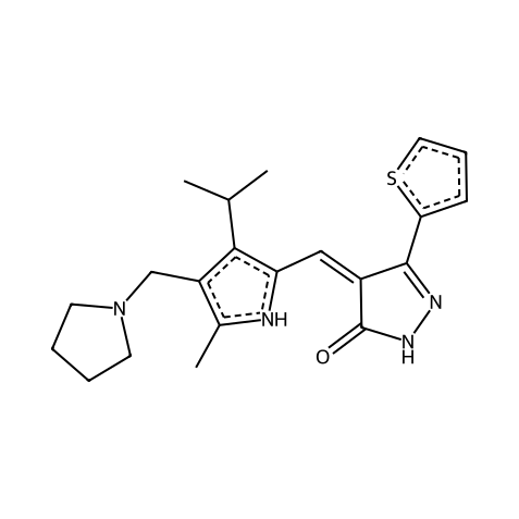 Cc1[nH]c(C=C2C(=O)NN=C2c2cccs2)c(C(C)C)c1CN1CCCC1